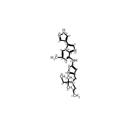 CCCN(Cc1cc(Nc2nc(C)cn3c(-c4cn[nH]c4)cnc23)sn1)C(C)(C)CC